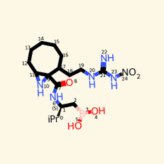 CC(C)[C@H](CB(O)O)NC(=O)C12NC1CCCCCC2CCNC(=N)N[N+](=O)[O-]